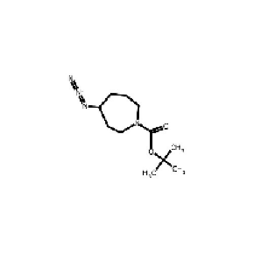 CC(C)(C)OC(=O)N1CCCC(N=[N+]=[N-])CC1